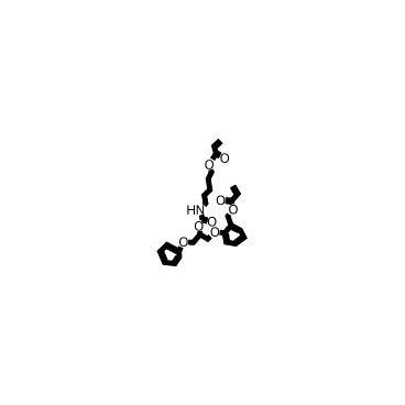 C=CC(=O)OCCCCCNC(=O)OC(COc1ccccc1)COc1ccccc1COC(=O)C=C